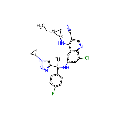 [2H][C@](Nc1cc(Cl)c2ncc(C#N)c(N[C@@H]3C[C@H]3CC)c2c1)(c1ccc(F)cc1)c1cn(C2CC2)nn1